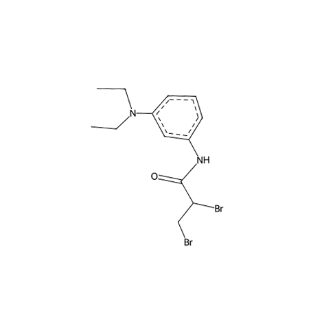 CCN(CC)c1cccc(NC(=O)C(Br)CBr)c1